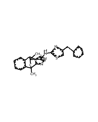 CC12CC(C)(C(=O)Nc3nc(Cc4ccccc4)cs3)C(c3ccccc31)n1cnnc12